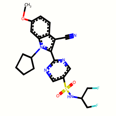 COc1ccc2c(C#N)c(-c3ncc(S(=O)(=O)NC(CF)CF)cn3)n(C3CCCC3)c2c1